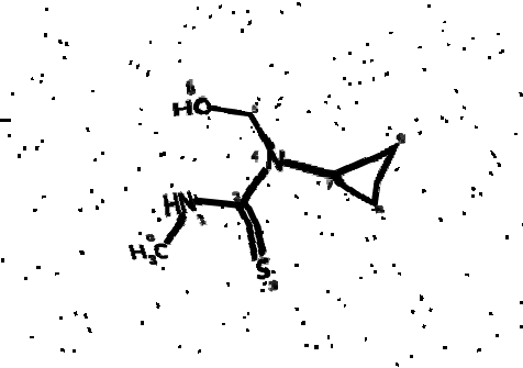 CNC(=S)N(CO)C1CC1